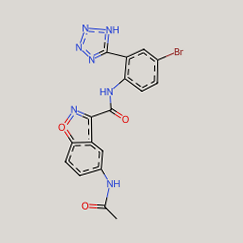 CC(=O)Nc1ccc2onc(C(=O)Nc3ccc(Br)cc3-c3nnn[nH]3)c2c1